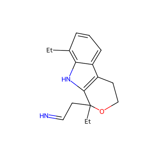 CCc1cccc2c3c([nH]c12)C(CC)(CC=N)OCC3